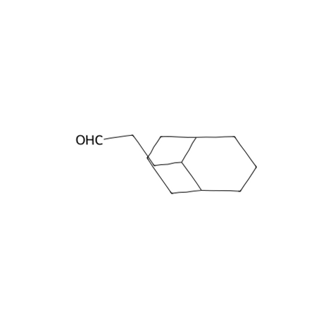 O=CCCC1C2CCCC1CCC2